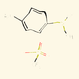 CC(=O)Oc1ccc([S+](C)C)cc1.O=S(=O)([O-])C(F)(F)F